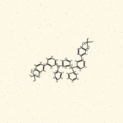 CC1(C)Oc2ccc(-c3cccc(N(c4ccccc4)c4cccc(N(c5ccccc5)c5cccc(-c6ccc7c(c6)OC(C)(C)O7)c5)c4)c3)cc2O1